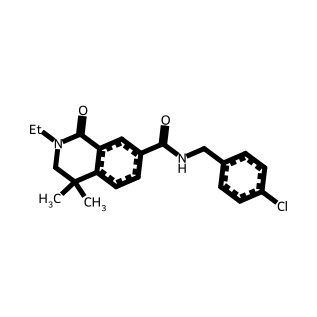 CCN1CC(C)(C)c2ccc(C(=O)NCc3ccc(Cl)cc3)cc2C1=O